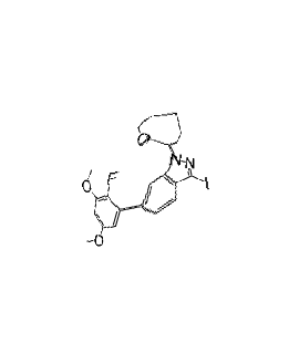 COc1cc(OC)c(F)c(-c2ccc3c(I)nn(C4CCCCO4)c3c2)c1